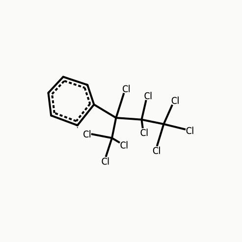 ClC(Cl)(Cl)C(Cl)(Cl)C(Cl)(c1[c]cccc1)C(Cl)(Cl)Cl